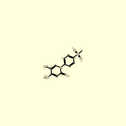 CS(=O)(=O)c1ccc(-n2cc(Cl)c(O)cc2=O)cc1